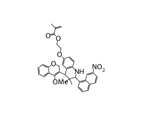 C=C(C)C(=O)OCCOc1ccc2c(c1)[C@](C)(C1=C(OC)c3ccccc3OC1)C(C)(C)C(c1cccc3ccc([N+](=O)[O-])cc13)N2